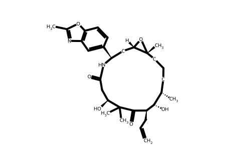 C=CC[C@H]1C(=O)C(C)(C)[C@@H](O)CC(=O)N[C@@H](c2ccc3oc(C)nc3c2)C[C@@H]2O[C@]2(C)CCC[C@H](C)[C@@H]1O